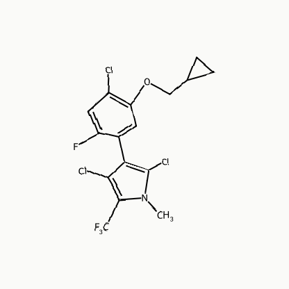 Cn1c(Cl)c(-c2cc(OCC3CC3)c(Cl)cc2F)c(Cl)c1C(F)(F)F